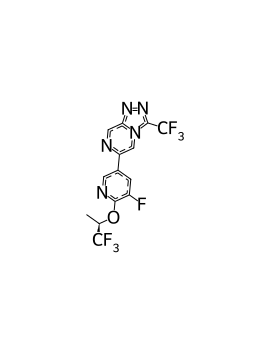 C[C@@H](Oc1ncc(-c2cn3c(C(F)(F)F)nnc3cn2)cc1F)C(F)(F)F